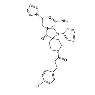 NC(=O)[C@H]1N(CCn2cncn2)C(=O)C2(CCN(C(=O)[CH]Cc3ccc(Cl)cc3)CC2)N1c1ccccc1